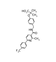 Cc1nc(-c2ccc(C(F)(F)F)cc2)ccc1C(=O)NCc1ccc(OC(C)(C)C(=O)O)cc1